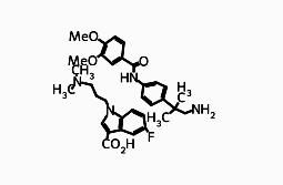 CN(C)CCCn1cc(C(=O)O)c2cc(F)ccc21.COc1ccc(C(=O)Nc2ccc(C(C)(C)CN)cc2)cc1OC